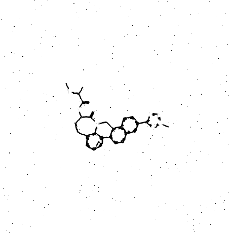 CNC(C)C(=O)NC1CCc2ccccc2N(Cc2c(OC)ccc3cc(-c4nnn(C)n4)ccc23)C1=O.Cl